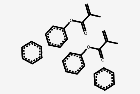 C=C(C)C(=O)Oc1ccccc1.C=C(C)C(=O)Oc1ccccc1.c1ccccc1.c1ccccc1